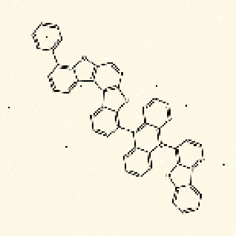 c1ccc(-c2cccc3c2oc2ccc4oc5c(-c6c7ccccc7c(-c7cccc8c7oc7ccccc78)c7ccccc67)cccc5c4c23)cc1